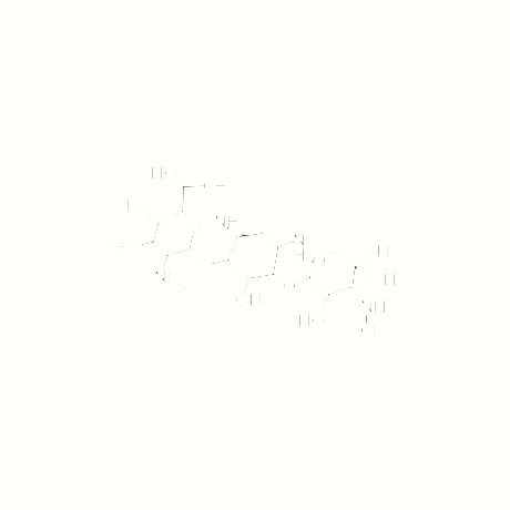 CNC1C(O)C(OC2C(N)CC(N)C(OC3OC(C(C)O)C(O)C(O)C3N)C2O)OCC1(C)O